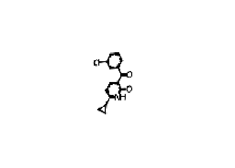 O=C(c1cccc(Cl)c1)c1ccc(C2CC2)[nH]c1=O